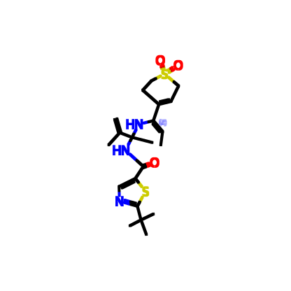 C=C(C)C(C)(NC(=O)c1cnc(C(C)(C)C)s1)N/C(=C\C)C1=CCS(=O)(=O)CC1